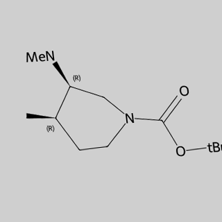 CN[C@H]1CN(C(=O)OC(C)(C)C)CC[C@H]1C